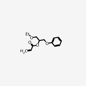 C=CC(=O)OC(COCC)COc1ccccc1